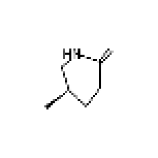 C=C1CC[C@@H](C)CN1